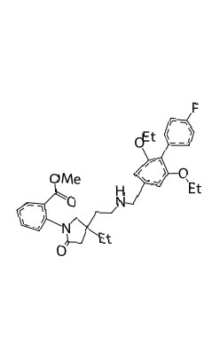 CCOc1cc(CNCCC2(CC)CC(=O)N(c3ccccc3C(=O)OC)C2)cc(OCC)c1-c1ccc(F)cc1